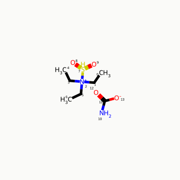 CC[N+](CC)(CC)[SH](=O)=O.NC(=O)[O-]